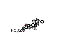 C=C(C)[C@@H]1CC[C@]2(C(=O)N3CCCC3c3ncc(-c4ccc(F)cc4)[nH]3)CC[C@]3(C)[C@H](CC[C@@H]4[C@@]5(C)CC[C@H](OC(=O)CC(C)(C)C(=O)O)C(C)(C)[C@@H]5CC[C@]43C)[C@@H]12